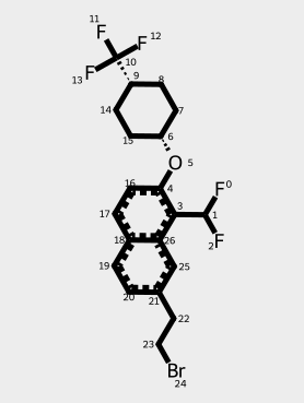 FC(F)c1c(O[C@H]2CC[C@@H](C(F)(F)F)CC2)ccc2ccc(CCBr)cc12